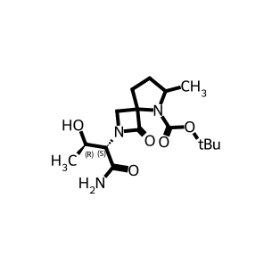 CC1CCC2(CN([C@H](C(N)=O)[C@@H](C)O)C2=O)N1C(=O)OC(C)(C)C